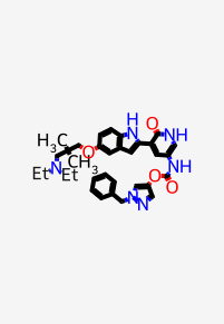 CCN(CC)CC(C)(C)COc1ccc2[nH]c(-c3cc(NC(=O)Oc4cnn(Cc5ccccc5)c4)c[nH]c3=O)cc2c1